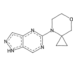 c1n[nH]c2cnc(N3CCOCC34CC4)nc12